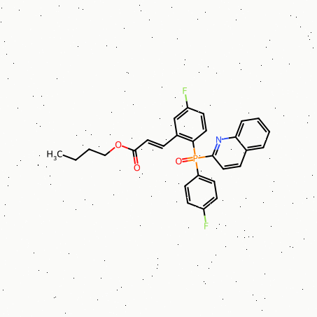 CCCCOC(=O)C=Cc1cc(F)ccc1P(=O)(c1ccc(F)cc1)c1ccc2ccccc2n1